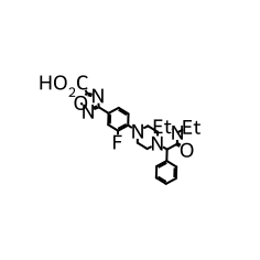 CCN(CC)C(=O)C(c1ccccc1)N1CCN(c2ccc(-c3noc(C(=O)O)n3)cc2F)CC1